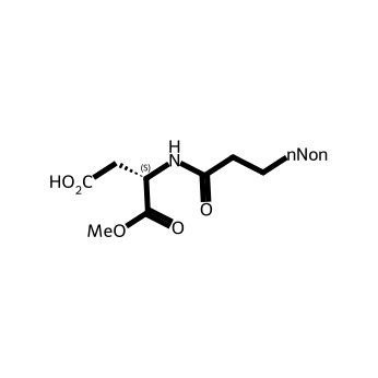 CCCCCCCCCCCC(=O)N[C@@H](CC(=O)O)C(=O)OC